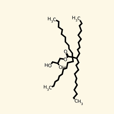 CCCCCCCCCCCC(CCCCCCCCCC)C(CCCCCCCCCC)(CCCCCCCCCC)C(=O)OCC(O)CO